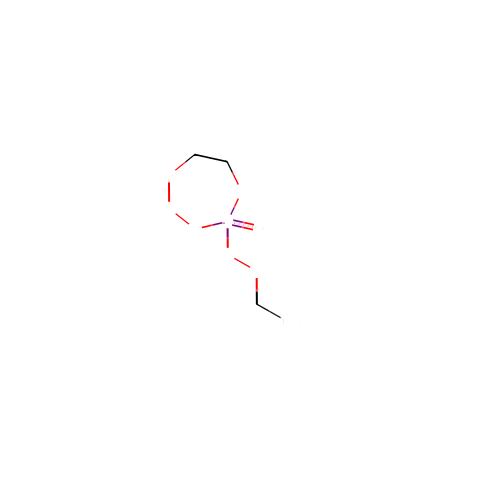 CCCCCCCCOOP1(=O)OCCOOO1